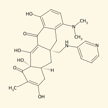 CC1=C(O)C[C@@H]2C[C@]3(CNc4cccnc4)Cc4c(N(C)C)ccc(O)c4C(=O)C3=C(O)[C@]2(O)C1=O